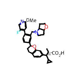 COc1cc(-c2ccc(C3CCc4ccc(C(C5CC5)[C@H](C)C(=O)O)cc4O3)cc2CN2CCC3OCCC32)c(F)cn1